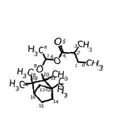 CCC(C)C(=O)OC(C)OC1(C)C2(C)CCC(C2)C1(C)C